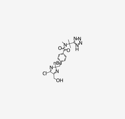 CCCCC1(Cc2ccc(S(=O)(=O)N(C)C(C)(C)c3nnn[nH]3)cc2)N=C(Cl)C(CO)=N1